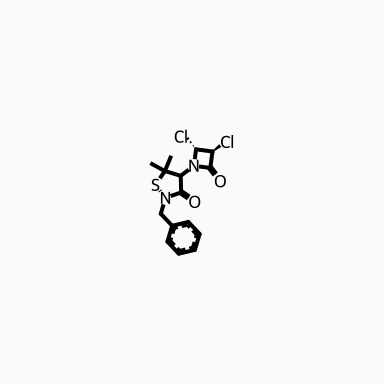 CC1(C)SN(Cc2ccccc2)C(=O)C1N1C(=O)[C@H](Cl)[C@H]1Cl